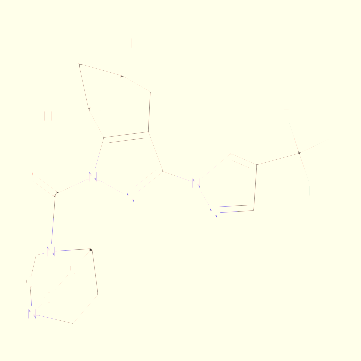 O=C(N1CCN2CCC1CC2)n1nc(-n2cc(C(F)(F)F)cn2)c2c1[C@H]1C[C@H]1C2